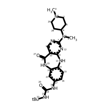 CN1CCC(N(C)c2ncc3c(n2)Nc2ccc(NC(=O)NC(C)(C)C)cc2NC3=O)CC1